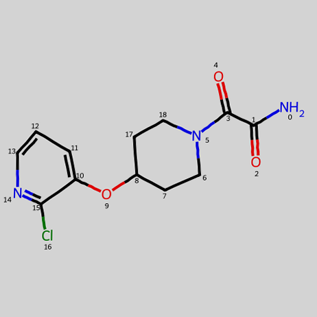 NC(=O)C(=O)N1CCC(Oc2cccnc2Cl)CC1